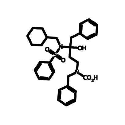 O=C(O)N(CCC(O)(Cc1ccccc1)N(CC1CCCCC1)S(=O)(=O)c1ccccc1)Cc1ccccc1